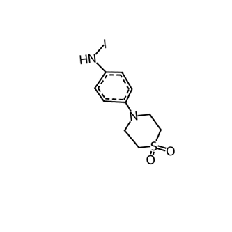 O=S1(=O)CCN(c2ccc(NI)cc2)CC1